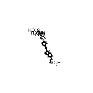 C[C@@H](NS(=O)(=O)N1CCN(c2ccc(C#Cc3ccc4cc(CCC(=O)O)ccc4c3)cc2)CC1)C(=O)O